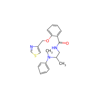 CC(CNC(=O)c1ccccc1OCc1cscn1)N(C)c1ccccc1